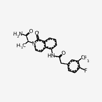 CC(C(N)=O)n1ccc2c(NC(=O)Cc3ccc(F)c(C(F)(F)F)c3)cccc2c1=O